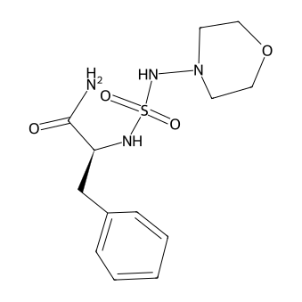 NC(=O)[C@H](Cc1ccccc1)NS(=O)(=O)NN1CCOCC1